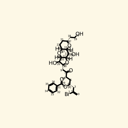 C=C(Br)C[C@@H](CCC(=O)C[C@H]1O[C@H]2[C@@H](O)[C@H]3O[C@@H](CCO)CC[C@@H]3O[C@H]2C1O)OC(=O)c1ccccc1